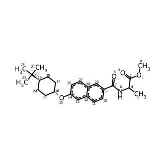 COC(=O)C(C)NC(=O)c1ccc2cc(O[C@H]3CC[C@H](C(C)(C)C)CC3)ccc2c1